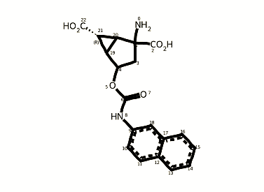 NC1(C(=O)O)CC(OC(=O)Nc2ccc3ccccc3c2)C2C1[C@H]2C(=O)O